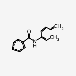 C=C/C=C\C(=C/C)NC(=O)c1ccccc1